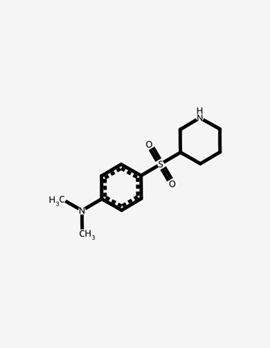 CN(C)c1ccc(S(=O)(=O)C2CCCNC2)cc1